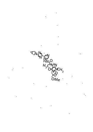 COCC(=O)Cn1c(=O)c2c(ncn2[C@@H](C)C(=O)Nc2cncc(-c3cnc(N4CC5CC5C4)cn3)n2)n(C)c1=O